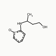 CC(CCO)Nc1cccc[n+]1[O-]